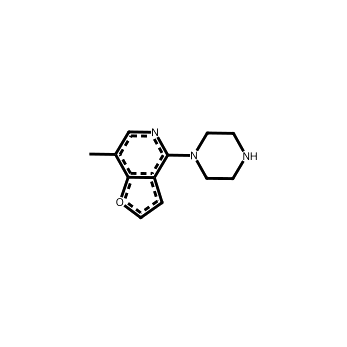 Cc1cnc(N2CCNCC2)c2ccoc12